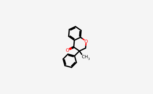 CC1(c2ccccc2)COc2ccccc2C1=O